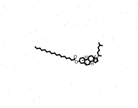 CCCCCCCCCCCCCCCCC(=O)O[C@H]1CC[C@@]2(C)C(=CC[C@H]3[C@@H]4CC[C@H](C(C)CCCC(C)C)[C@@]4(C)CC[C@@H]32)C1